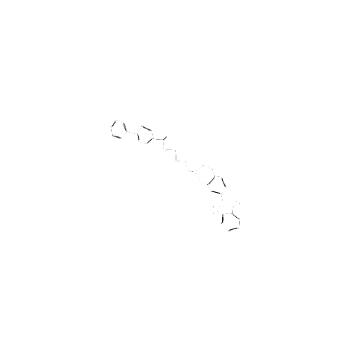 N#Cc1ccccc1S(=O)(=O)Oc1ccc2c(c1)CN(CCCCNC(=O)c1ccc(-c3ccccc3)cc1)CC2